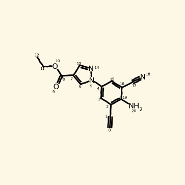 C#Cc1cc(-n2cc(C(=O)OCC)cn2)cc(C#N)c1N